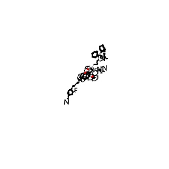 CC(C)(C)[Si](OCCC[C@@H](S[C@H]1CO[C@H](C=CC=Cc2ccc(C#N)cc2F)OC1)[C@@](Cn1cncn1)(OC(=O)O)c1ccc(F)cc1F)(c1ccccc1)c1ccccc1